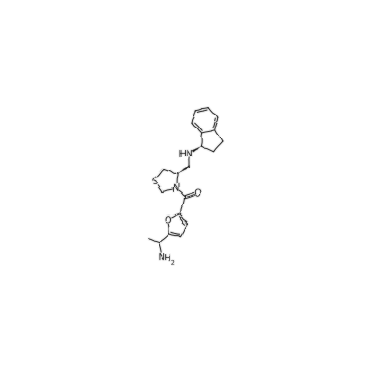 CC(N)c1ccc(C(=O)N2CSC[C@H]2CN[C@@H]2CCc3ccccc32)o1